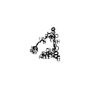 CC[C@@]1(O)C(=O)OCc2c1cc1n(c2=O)Cc2c-1nc1cc(Cl)c(C)c3c1c2[C@H](NC(=O)COCNC(=O)CNC(=O)[C@H](Cc1ccccc1)NC(=O)CNC(=O)CNC(=O)CCCC#Cc1cnc(S(C)(=O)=O)nc1)CC3